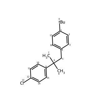 CC(C)(C)c1ccc(CC(C)(C)c2ccc(Cl)cc2)cc1